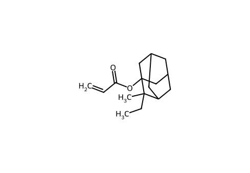 C=CC(=O)OC12CC3CC(CC(C3)C1(C)CC)C2